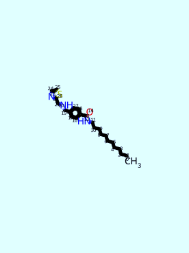 CCCCCCCCCCCCNC(=O)c1ccc(CNCc2nccs2)cc1